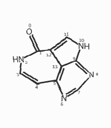 O=C1NC=Cc2ncnc3[nH]cc1c23